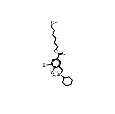 CCN(Cc1cc(C(=O)OCCCCCCO)cc(Br)c1N)C1CCCCC1